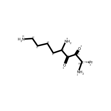 CC(C)[C@H](N)C(=O)C(=O)C(N)CCCCN